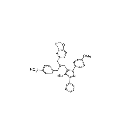 CCCCn1c(-c2ccccc2)nc(-c2ccc(OC)cc2)c1CN(Cc1ccc(C(=O)O)cc1)Cc1ccc2c(c1)OCO2